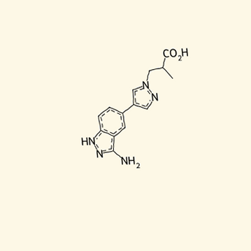 CC(Cn1cc(-c2ccc3[nH]nc(N)c3c2)cn1)C(=O)O